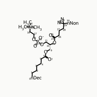 CCCCCCCCCCCCCCCC(=O)OC[C@H](COP(=O)([O-])OCC[N+](C)(C)C)OC(=O)CCCC1(CCCCCCCCC)N=N1